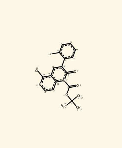 CC(C)(C)OC(=O)n1c(=O)c(-c2ccccc2F)cc2c(Cl)nccc21